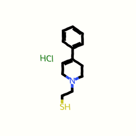 Cl.SCCN1CC=C(c2ccccc2)CC1